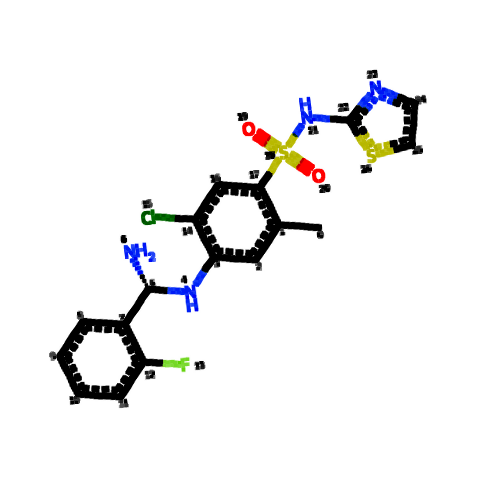 Cc1cc(N[C@@H](N)c2ccccc2F)c(Cl)cc1S(=O)(=O)Nc1nccs1